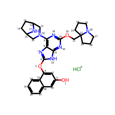 Cl.Oc1cc(Oc2nc3c(N4CC5CCC(C4)N5)nc(OCC45CCCN4CCC5)nc3[nH]2)c2ccccc2c1